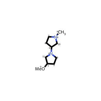 COC1CCN(C2CCN(C)C2)C1